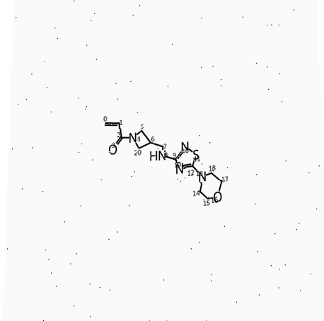 C=CC(=O)N1CC(CNc2nsc(N3CCOCC3)n2)C1